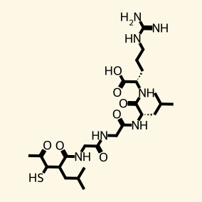 CC(=O)C(S)C(CC(C)C)C(=O)NCC(=O)NCC(=O)N[C@@H](CC(C)C)C(=O)N[C@@H](CCCNC(=N)N)C(=O)O